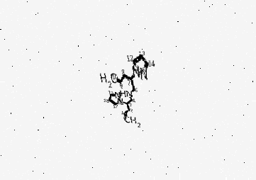 C=CCC(CNCC(CC=C)n1cccn1)n1cccn1